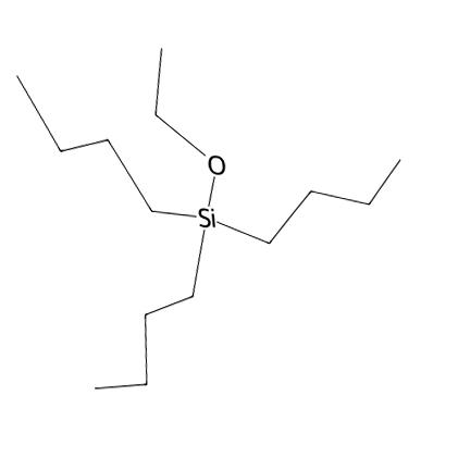 CCCC[Si](CCCC)(CCCC)OCC